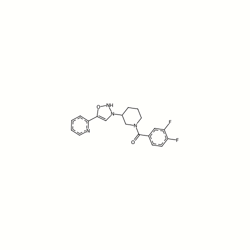 O=C(c1ccc(F)c(F)c1)N1CCCC(N2C=C(c3ccccn3)ON2)C1